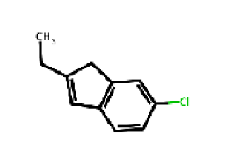 CCC1=Cc2ccc(Cl)cc2C1